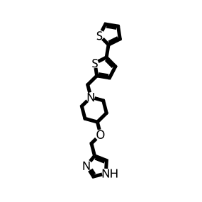 c1csc(-c2ccc(CN3CCC(OCc4c[nH]cn4)CC3)s2)c1